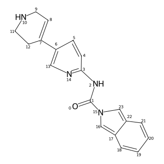 O=C(Nc1ccc(C2=CCNCC2)cn1)n1cc2ccccc2c1